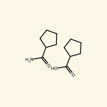 NC(=O)C1CCCC1.O=C(O)C1CCCC1